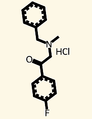 CN(CC(=O)c1ccc(F)cc1)Cc1ccccc1.Cl